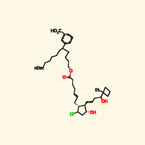 CCCCCCCCCCCCCCCC(CCCCOC(=O)CCCC=CC[C@@H]1[C@@H](C=CC[C@H](O)C2(CC)CCC2)[C@H](O)C[C@H]1Cl)c1cccc(C(=O)O)c1